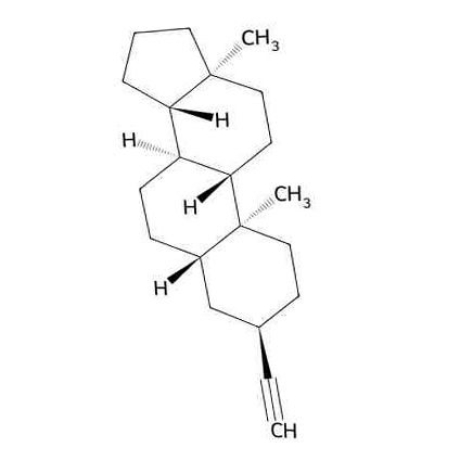 C#C[C@@H]1CC[C@@]2(C)[C@@H](CC[C@H]3[C@@H]4CCC[C@@]4(C)CC[C@@H]32)C1